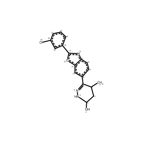 CC1CC(O)NN=C1c1ccc2nc(-c3cccc(Cl)c3)oc2c1